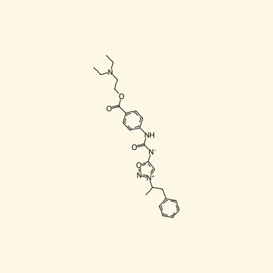 CCN(CC)CCOC(=O)c1ccc(NC(=O)[N-]c2c[n+](C(C)Cc3ccccc3)no2)cc1